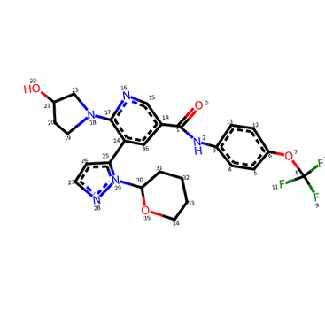 O=C(Nc1ccc(OC(F)(F)F)cc1)c1cnc(N2CCC(O)C2)c(-c2ccnn2C2CCCCO2)c1